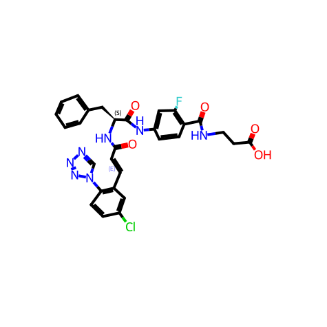 O=C(O)CCNC(=O)c1ccc(NC(=O)[C@H](Cc2ccccc2)NC(=O)/C=C/c2cc(Cl)ccc2-n2cnnn2)cc1F